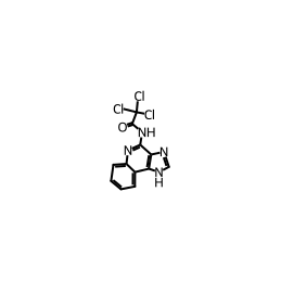 O=C(Nc1nc2ccccc2c2[nH]cnc12)C(Cl)(Cl)Cl